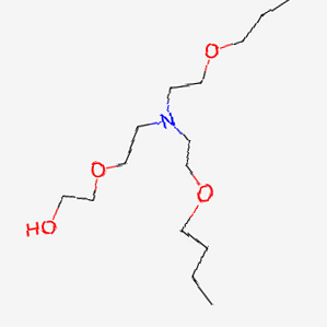 CCCCOCCN(CCOCCO)CCOCCCC